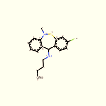 COCCCNC1c2ccc(F)cc2SN(C)c2ccccc21